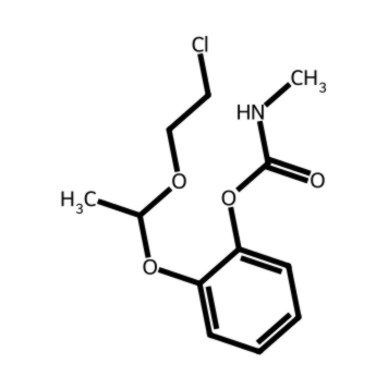 CNC(=O)Oc1ccccc1OC(C)OCCCl